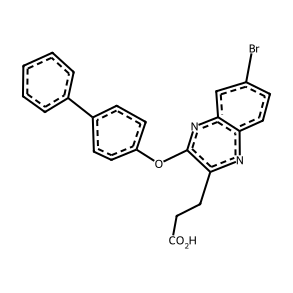 O=C(O)CCc1nc2ccc(Br)cc2nc1Oc1ccc(-c2ccccc2)cc1